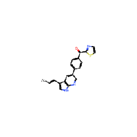 CC(=O)/C=C/c1c[nH]c2ncc(-c3ccc(C(=O)c4nccs4)cc3)cc12